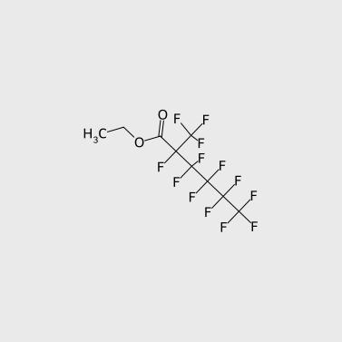 CCOC(=O)C(F)(C(F)(F)F)C(F)(F)C(F)(F)C(F)(F)C(F)(F)F